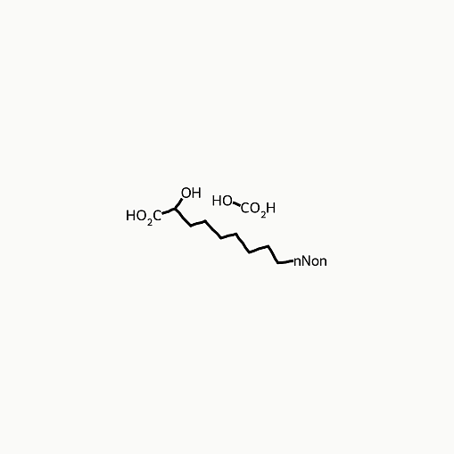 CCCCCCCCCCCCCCCCC(O)C(=O)O.O=C(O)O